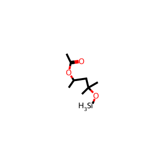 CC(=O)OC(C)CC(C)(C)O[SiH3]